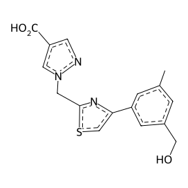 Cc1cc(CO)cc(-c2csc(Cn3cc(C(=O)O)cn3)n2)c1